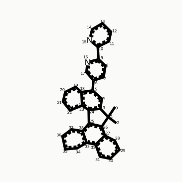 CC1(C)c2cc(-c3ccc(-c4ccccn4)nc3)c3ccccc3c2-c2c1c1ccccc1c1ccccc21